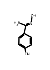 B/C(=N\O)c1ccc(C#N)cc1